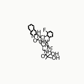 CC(=O)N(NCc1cccc(F)c1Cl)[C@@H](CNC(=O)C(C)(CO)CO)COC(=O)Nc1cc2ccccc2cn1